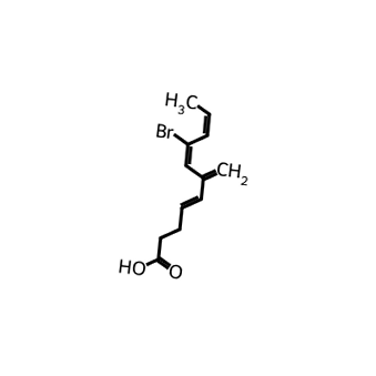 C=C(/C=C/CCC(=O)O)/C=C(Br)\C=C/C